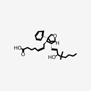 CCCCC(C)(C)[C@@H](O)/C=C/[C@@H]1[C@@H](C/C=C\CCCC(=O)O)[C@@]2(c3ccccc3)CO[C@@H]1C2